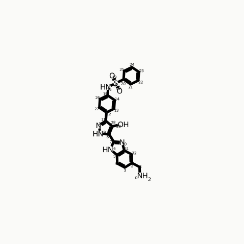 NCc1ccc2[nH]c(-c3[nH]nc(-c4ccc(NS(=O)(=O)c5ccccc5)cc4)c3O)nc2c1